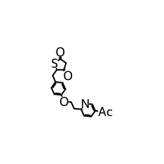 CC(=O)c1ccc(CCOc2ccc(CC3SC(=O)CC3=O)cc2)nc1